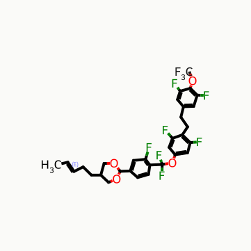 C/C=C/CCC1COC(c2ccc(C(F)(F)Oc3cc(F)c(CCc4cc(F)c(OC(F)(F)F)c(F)c4)c(F)c3)c(F)c2)OC1